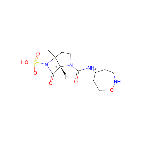 CC12CCN(C(=O)N[C@@H]3CCNOCC3)[C@@H]1C(=O)N2S(=O)(=O)O